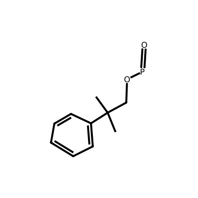 CC(C)(COP=O)c1ccccc1